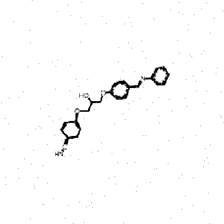 N=C=C1C=CC(OCC(O)COc2ccc(/C=N/c3ccccc3)cc2)=CC1